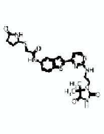 CC1(C)C(=O)NC(=O)N1CCNc1nccc(-c2cc3cc(NC(=O)CSC4CCC(=O)N4)ccc3s2)n1